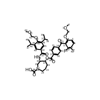 COCOc1ccc(F)c(F)c1C(=O)c1ccc(C(=O)O[C@@H]2CCCN(C(=O)O)C[C@H]2NC(=O)c2cc(C(C)C)c(OCOC)c(C(C)C)c2)cc1